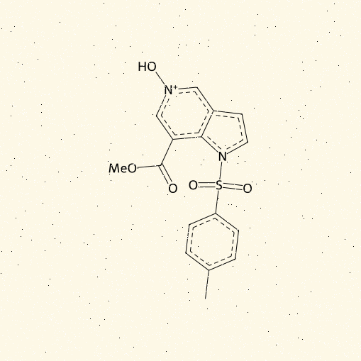 COC(=O)c1c[n+](O)cc2ccn(S(=O)(=O)c3ccc(C)cc3)c12